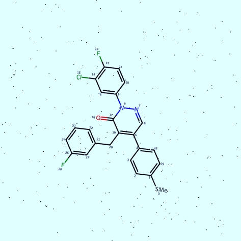 CSc1ccc(-c2cnn(-c3ccc(F)c(Cl)c3)c(=O)c2Cc2cccc(F)c2)cc1